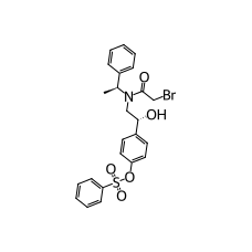 C[C@@H](c1ccccc1)N(C[C@H](O)c1ccc(OS(=O)(=O)c2ccccc2)cc1)C(=O)CBr